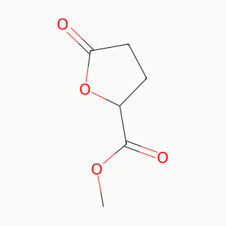 COC(=O)C1CCC(=O)O1